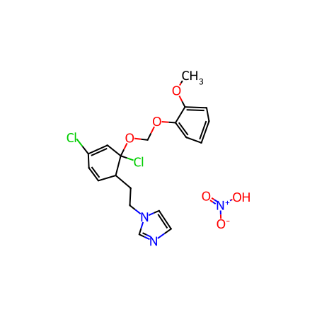 COc1ccccc1OCOC1(Cl)C=C(Cl)C=CC1CCn1ccnc1.O=[N+]([O-])O